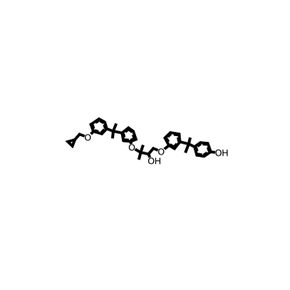 CC(C)(c1ccc(O)cc1)c1cccc(OCC(O)C(C)(C)Oc2cccc(C(C)(C)c3cccc(OCC4CC4)c3)c2)c1